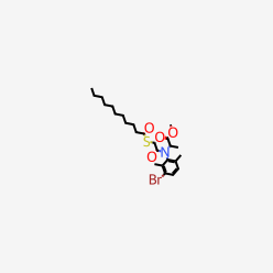 CCCCCCCCCCC(=O)SCC(=O)N(c1c(C)ccc(Br)c1C)C(C)C(=O)OC